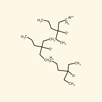 CCCC([O-])(CC)CC.CCCC([O-])(CC)CC.CCCC([O-])(CC)CC.[Al+3]